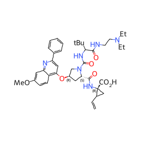 C=CC1C[C@]1(NC(=O)[C@@H]1C[C@@H](Oc2cc(-c3ccccc3)nc3cc(OC)ccc23)CN1C(=O)NC(C(=O)NCCN(CC)CC)C(C)(C)C)C(=O)O